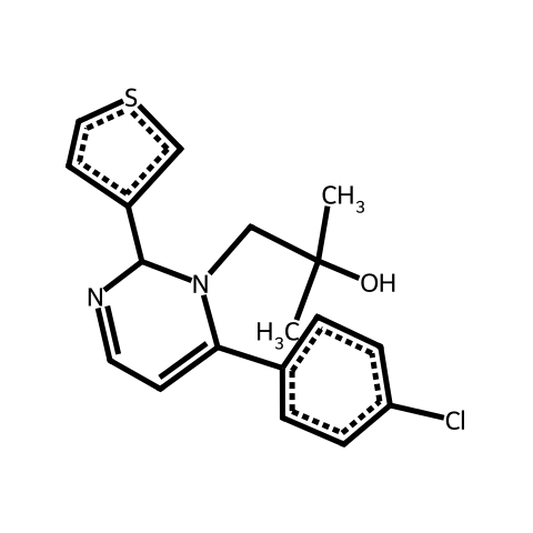 CC(C)(O)CN1C(c2ccc(Cl)cc2)=CC=NC1c1ccsc1